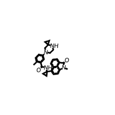 Cc1ccc(N2CCNC3(CC3)C2)cc1C(=O)NC1(c2ccc3c4c(cccc24)C(=O)N3C)CC1